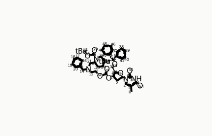 Cc1cn([C@H]2C[C@H](OC(=O)OCCN(Cc3ccccc3)CC3CCCCN3C(=O)OC(C)(C)C)[C@@H](CO[Si](c3ccccc3)(c3ccccc3)C(C)(C)C)O2)c(=O)[nH]c1=O